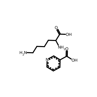 NCCCCC(N)C(=O)O.O=C(O)c1cccnc1